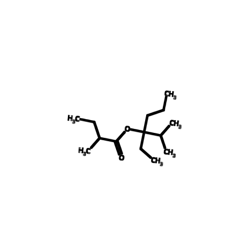 CCCC(CC)(OC(=O)C(C)CC)C(C)C